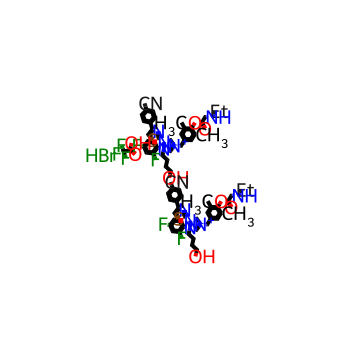 Br.CCNCC(=O)Oc1c(C)cc(C[N+]2=C[N+](CCCCO)(c3ccc(F)cc3F)N(c3nc(-c4ccc(C#N)cc4)cs3)C2)cc1C.CCNCC(=O)Oc1c(C)cc(C[N+]2=C[N+](CCCCO)(c3ccc(F)cc3F)N(c3nc(-c4ccc(C#N)cc4)cs3)C2)cc1C.O=C(O)C(F)(F)F